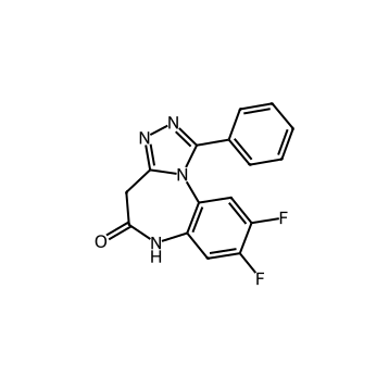 O=C1Cc2nnc(-c3ccccc3)n2-c2cc(F)c(F)cc2N1